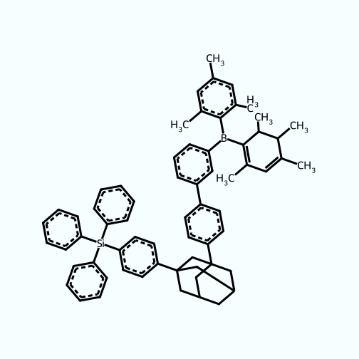 CC1=CC(C)=C(B(c2cccc(-c3ccc(C45CC6CC(C4)CC(c4ccc([Si](c7ccccc7)(c7ccccc7)c7ccccc7)cc4)(C6)C5)cc3)c2)c2c(C)cc(C)cc2C)C(C)C1C